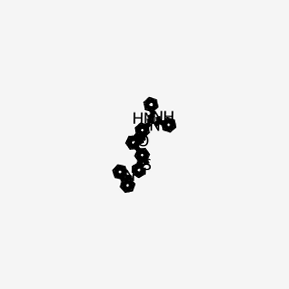 C1=CCCC(C2NC(c3ccc4c(c3)oc3c(-c5ccc6sc7ccc(-n8c9ccccc9c9ccccc98)cc7c6c5)cccc34)=NC(c3ccccc3)N2)=C1